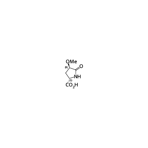 CO[C@@H]1C[C@@H](C(=O)O)NC1=O